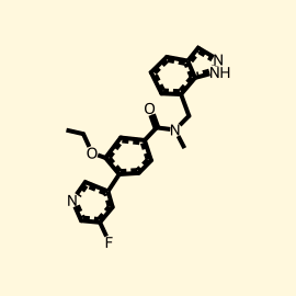 CCOc1cc(C(=O)N(C)Cc2cccc3cn[nH]c23)ccc1-c1cncc(F)c1